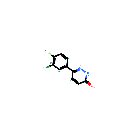 O=c1ccc(-c2ccc(F)c(Cl)c2)n[nH]1